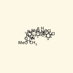 COC(=O)C(C)n1nc(-c2ccc(NS(=O)(=O)c3cccc(Cl)c3Cl)c(F)c2)c2c(N)ncnc21